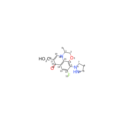 CC1COc2c(N3CCCN3)c(F)cc3c(=O)c(C(=O)O)cn1c23